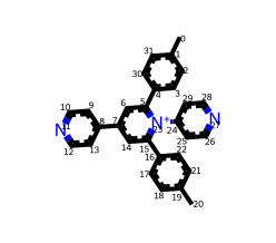 Cc1ccc(-c2cc(-c3ccncc3)cc(-c3ccc(C)cc3)[n+]2-c2ccncc2)cc1